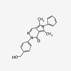 Cc1c2cnn(-c3ccc(CO)cc3)c(=O)c2c(C)n1-c1ccccc1